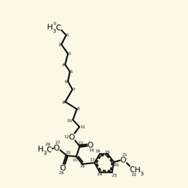 CCCCCCCCCCCCOC(=O)C(=Cc1ccc(OC)cc1)C(=O)OC